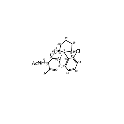 C=C(C)[C@H](NC(C)=O)C(=O)N(C)[C@@]1(c2ccccc2Cl)CCCCC1=O